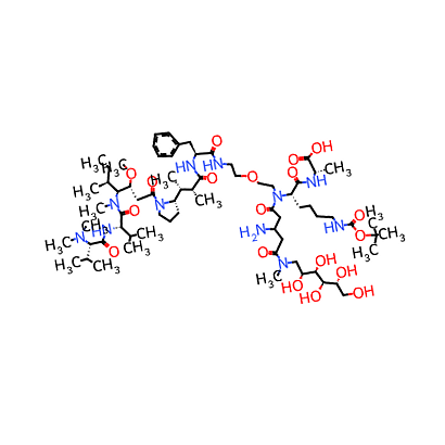 CC[C@H](C)[C@@H]([C@@H](CC(=O)N1CCC[C@H]1[C@H](C)[C@@H](C)C(=O)N[C@@H](Cc1ccccc1)C(=O)NCCOCCN(C(=O)CC(N)CC(=O)N(C)C[C@H](O)[C@@H](O)[C@H](O)[C@H](O)CO)[C@@H](CCCCNC(=O)OC(C)(C)C)C(=O)N[C@@H](C)C(=O)O)OC)N(C)C(=O)[C@@H](NC(=O)[C@H](C(C)C)N(C)C)C(C)C